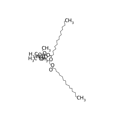 CCCCCCCCCCCCCCCC(=O)OCC(COP(=O)(OCC)O[N+](C)(C)C)OC(=O)CCCCCCCCCCCCCCC